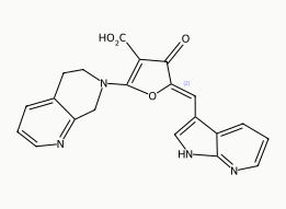 O=C(O)C1=C(N2CCc3cccnc3C2)O/C(=C\c2c[nH]c3ncccc23)C1=O